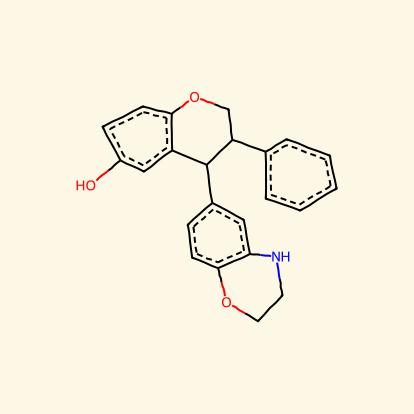 Oc1ccc2c(c1)C(c1ccc3c(c1)NCCO3)C(c1ccccc1)CO2